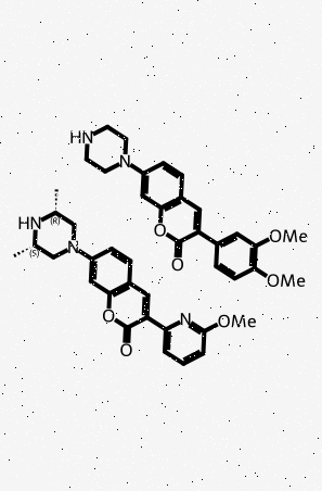 COc1ccc(-c2cc3ccc(N4CCNCC4)cc3oc2=O)cc1OC.COc1cccc(-c2cc3ccc(N4C[C@@H](C)N[C@@H](C)C4)cc3oc2=O)n1